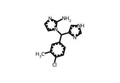 Cc1cc(C(c2c[nH]cn2)n2ccnc2N)ccc1Cl